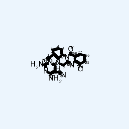 N#Cc1cccc(-n2c(CNc3nc(N)nc(N)c3C#N)nc3c(Cl)cccc3c2=O)c1